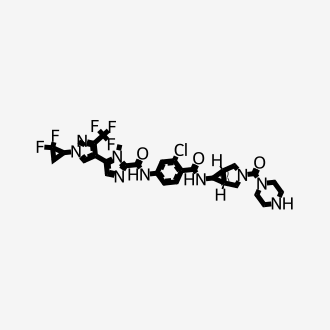 Cn1c(-c2cn(C3CC3(F)F)nc2C(F)(F)F)cnc1C(=O)Nc1ccc(C(=O)NC2[C@H]3CN(C(=O)N4CCNCC4)C[C@@H]23)c(Cl)c1